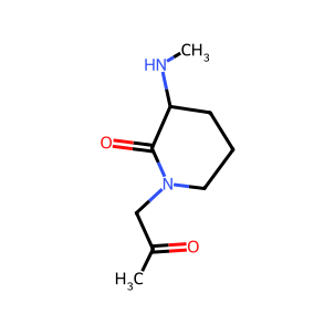 CNC1CCCN(CC(C)=O)C1=O